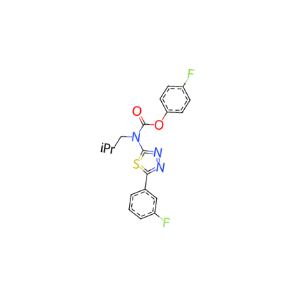 CC(C)CN(C(=O)Oc1ccc(F)cc1)c1nnc(-c2cccc(F)c2)s1